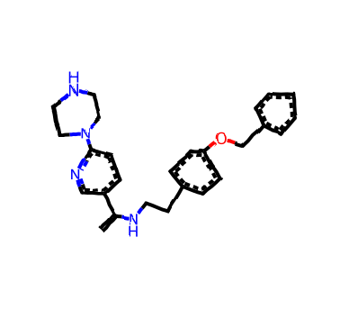 C=C(NCCc1ccc(OCc2ccccc2)cc1)c1ccc(N2CCNCC2)nc1